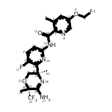 Cc1cc(OCF)cnc1C(=O)Nc1ccc(F)c([C@]2(C)CO[C@@](C)(C(F)(F)F)C(N)=N2)n1